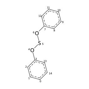 c1ccc(OSOc2ccccc2)cc1